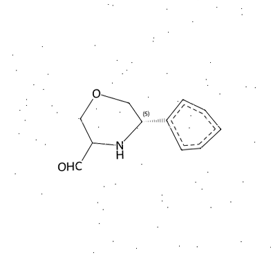 O=CC1COC[C@H](c2ccccc2)N1